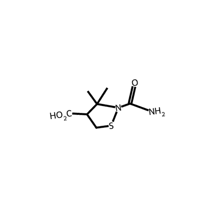 CC1(C)C(C(=O)O)CSN1C(N)=O